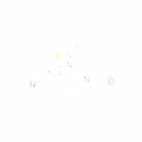 CCCC1CC(N2c3ccccc3Sc3cc(-c4cccnc4)ccc32)CCN1Cc1ccoc1